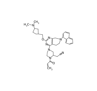 C=CC(=O)N1CCN(c2nc(OCC3CCC(N(C)C)C3)nc3c2CCN(c2cccc4ccccc24)C3)CC1CC#N